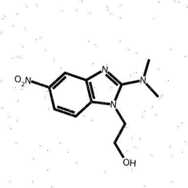 CN(C)c1nc2cc([N+](=O)[O-])ccc2n1CCO